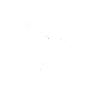 COC(=O)c1cc(C(C)=O)n2ccc(OC)cc12